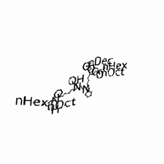 CCCCCCCCCCC(=O)OCC(CCCCN(CCN(CCO)CCCCCC(=O)NCC(CCCCCC)CCCCCCCC)C1CCCC1)COC(=O)CC(CCCCCC)CCCCCCCC